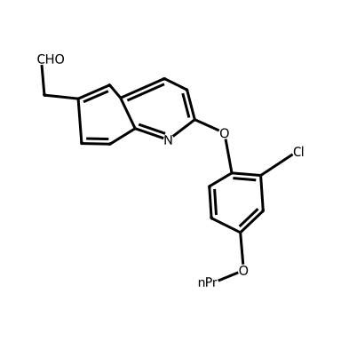 CCCOc1ccc(Oc2ccc3cc(CC=O)ccc3n2)c(Cl)c1